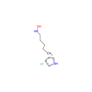 CCCCCNO.F.c1cc[nH]c1